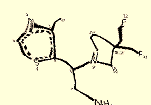 Cc1ncsc1C(CN)N1CC(F)(F)C1